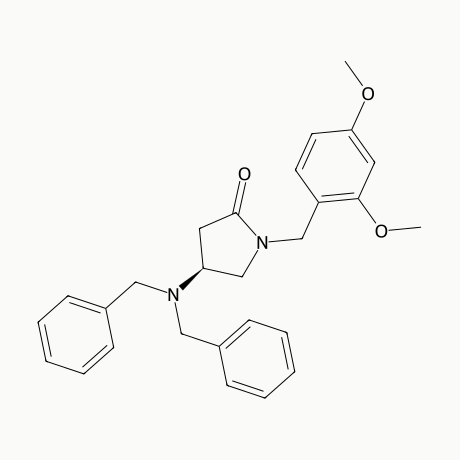 COc1ccc(CN2C[C@@H](N(Cc3ccccc3)Cc3ccccc3)CC2=O)c(OC)c1